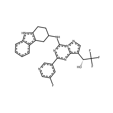 O[C@H](c1cnn2c(NC3CCc4[nH]c5ccccc5c4C3)nc(-c3cncc(F)c3)nc12)C(F)(F)F